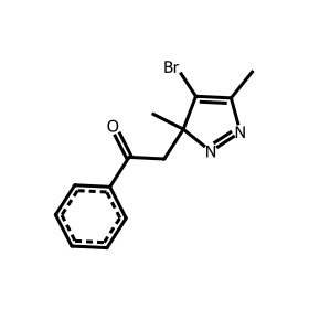 CC1=C(Br)C(C)(CC(=O)c2ccccc2)N=N1